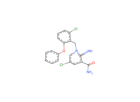 N=c1c(C(N)=O)cc(Cl)cn1Cc1c(Cl)cccc1Oc1ccccc1